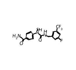 NC(=O)c1ccc(N(S)C(=O)NCc2cc(F)cc(C(F)(F)F)c2)cc1